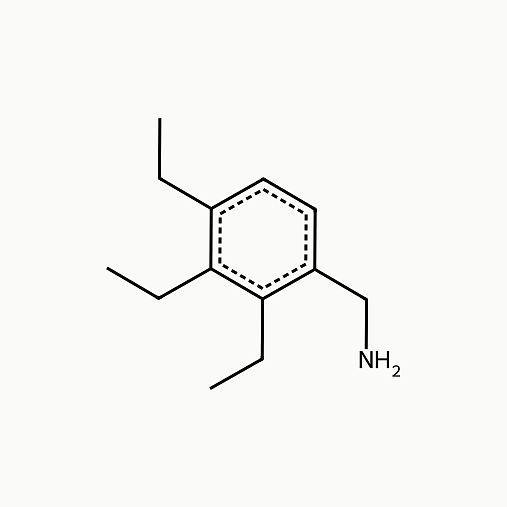 CCc1ccc(CN)c(CC)c1CC